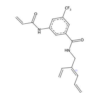 C=C/C=C(\C=C)CNC(=O)c1cc(NC(=O)C=C)cc(C(F)(F)F)c1